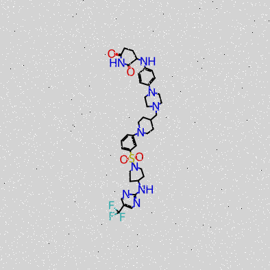 O=C1CCC(Nc2ccc(N3CCN(CC4CCN(c5cccc(S(=O)(=O)N6CCC(Nc7ncc(C(F)(F)F)cn7)CC6)c5)CC4)CC3)cc2)C(=O)N1